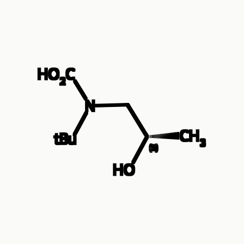 C[C@H](O)CN(C(=O)O)C(C)(C)C